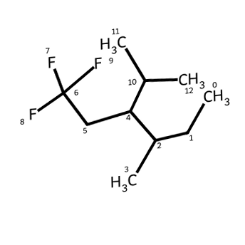 CCC(C)C(CC(F)(F)F)C(C)C